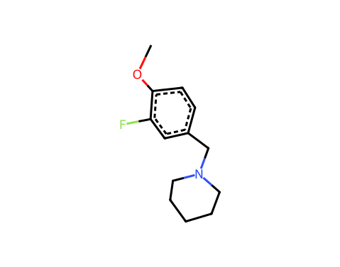 COc1ccc(CN2CCCCC2)cc1F